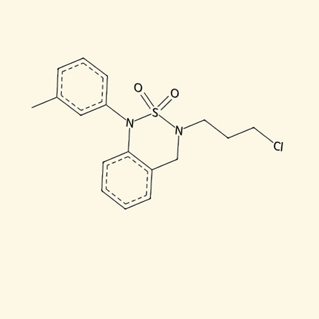 Cc1cccc(N2c3ccccc3CN(CCCCl)S2(=O)=O)c1